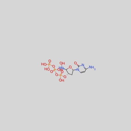 Nc1ccn([C@H]2C[C@H](OP(=O)(O)OP(=O)(O)OP(=O)(O)O)[C@@H](NO)O2)c(=O)n1